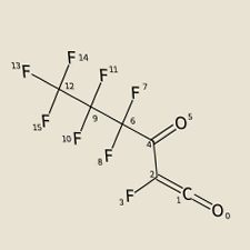 O=C=C(F)C(=O)C(F)(F)C(F)(F)C(F)(F)F